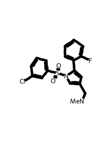 CNCc1cc(-c2ccccc2F)n(S(=O)(=O)c2cccc(Cl)c2)c1